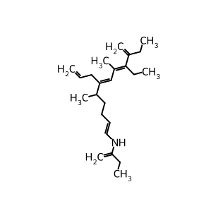 C=CC/C(=C\C(C)=C(/CC)C(=C)CC)C(C)CC/C=C/NC(=C)CC